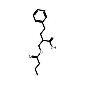 CCCC(=O)OCC(CCc1ccccc1)C(=O)O